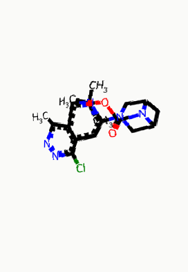 Cc1nnc(Cl)c2cc(N3CC4CC(C3)N4C(=O)OC(C)(C)C)ncc12